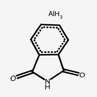 O=C1NC(=O)c2ccccc21.[AlH3]